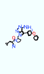 N#CC(=CC1CC1)C(=O)N1CCCC1Cn1cc(-c2ccc(Oc3ccccc3)cc2)c2c(N)ncnc21